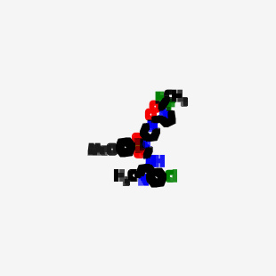 COc1ccc(S(=O)(=O)N(CCNc2cc(C)nc3ccc(Cl)cc23)C2CCN(C(=O)C3CCCN3C(=O)C(C)(F)F)CC2)cc1